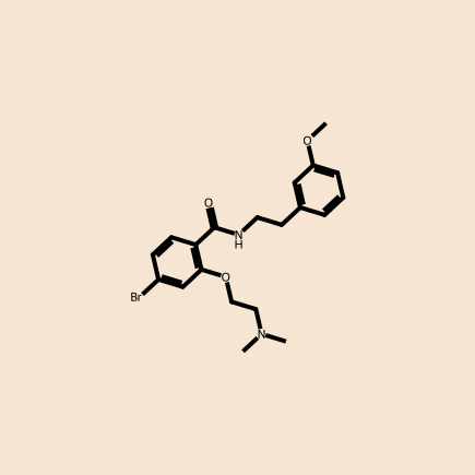 COc1cccc(CCNC(=O)c2ccc(Br)cc2OCCN(C)C)c1